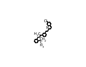 C=C(C)c1ccccc1CC[C@H](C)c1cccc(C=Cc2ccc3ccc(Cl)cc3n2)c1